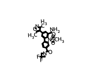 Cc1noc(C)c1-c1cc(C(N)=O)c2c(c1)c1ccc(C(=O)N3CC(F)(F)C3)cc1n2S(C)(=O)=O